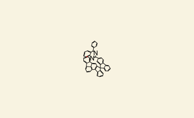 c1ccc(-c2nc(-c3ccc4c(c3)C3(c5ccccc5-4)c4ccccc4-c4c3cc3c5c(cccc45)-c4ccccc4-3)nc3ccccc23)cc1